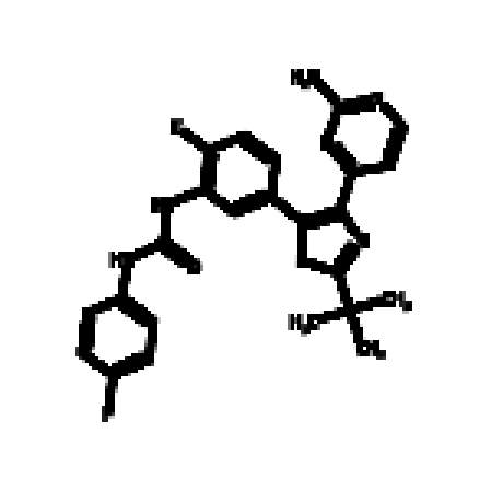 CC(C)(C)c1nc(-c2ccnc(N)n2)c(-c2ccc(F)c(NC(=O)Nc3ccc(F)cc3)c2)s1